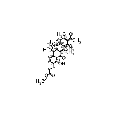 CCOC(=O)CCc1ccc2c(c1O)C(=O)C1=C(C)C3(C)C(=O)C(C(C)=O)=C(C)CC3(C)C(C)C1(C)C2C